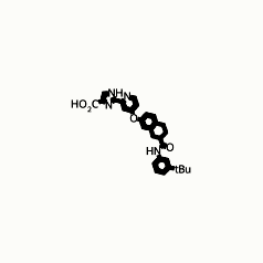 CC(C)(C)c1cccc(NC(=O)C2CCc3ccc(Oc4ccnc(-c5nc(C(=O)O)c[nH]5)c4)cc3C2)c1